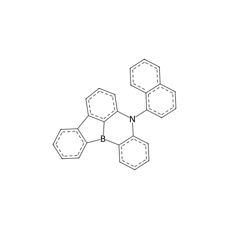 c1ccc2c(c1)B1c3ccccc3N(c3cccc4ccccc34)c3cccc-2c31